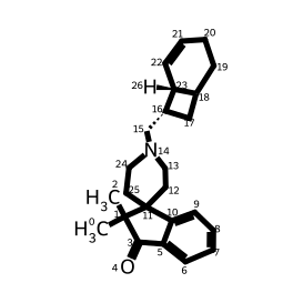 CC1(C)C(=O)c2ccccc2C12CCN(C[C@H]1CC3CCC=C[C@H]31)CC2